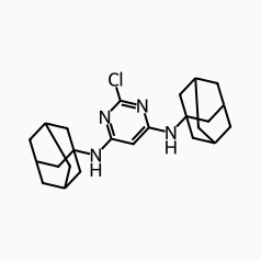 Clc1nc(NC23CC4CC(CC(C4)C2)C3)cc(NC23CC4CC(CC(C4)C2)C3)n1